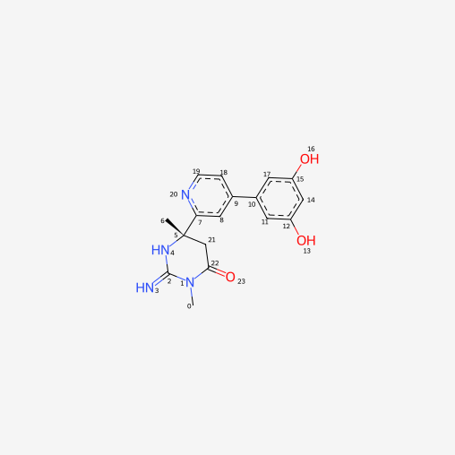 CN1C(=N)N[C@](C)(c2cc(-c3cc(O)cc(O)c3)ccn2)CC1=O